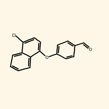 O=[C]c1ccc(Oc2ccc(Cl)c3ccccc23)cc1